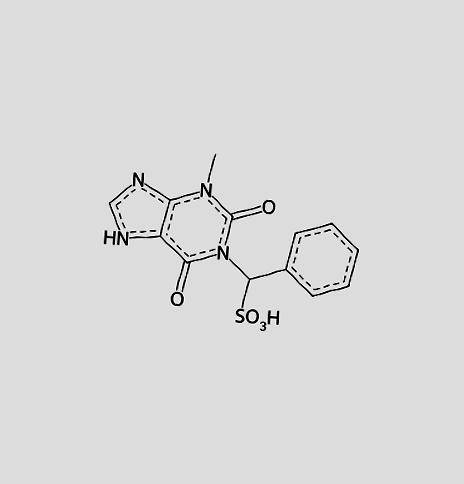 Cn1c(=O)n(C(c2ccccc2)S(=O)(=O)O)c(=O)c2[nH]cnc21